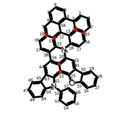 c1ccc(-c2cccc3cccc(-c4ccccc4N(c4ccc5oc6ccccc6c5c4)c4ccccc4-c4ccc5c(c4)c4ccccc4n5-c4ccccc4)c23)cc1